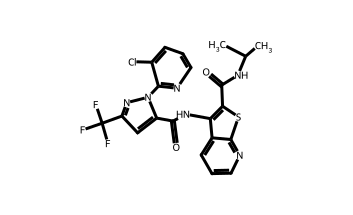 CC(C)NC(=O)c1sc2ncccc2c1NC(=O)c1cc(C(F)(F)F)nn1-c1ncccc1Cl